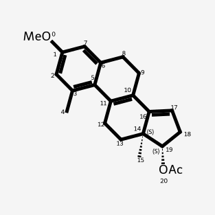 COc1cc(C)c2c(c1)CCC1=C2CC[C@@]2(C)C1=CC[C@@H]2OC(C)=O